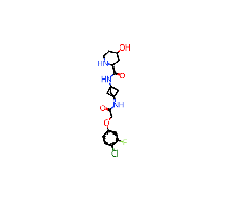 O=C(COc1ccc(Cl)c(F)c1)NC12CC(NC(=O)C3CC(O)CCN3)(C1)C2